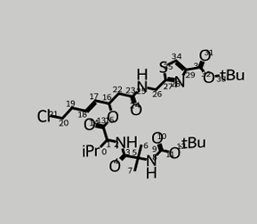 CC(C)C(NC(=O)C(C)(C)NC(=O)OC(C)(C)C)C(=O)OC(/C=C/CCCl)CC(=O)NCc1nc(C(=O)OC(C)(C)C)cs1